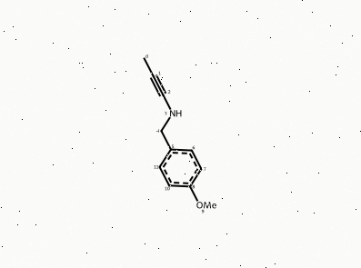 CC#CNCc1ccc(OC)cc1